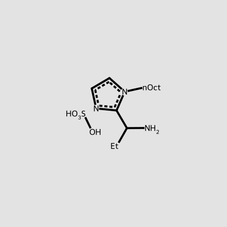 CCCCCCCCn1ccnc1C(N)CC.O=S(=O)(O)O